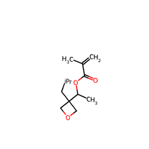 C=C(C)C(=O)OC(C)C1(CC(C)C)COC1